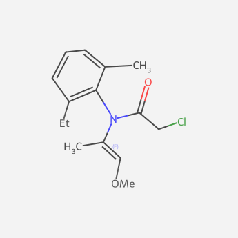 CCc1cccc(C)c1N(C(=O)CCl)/C(C)=C/OC